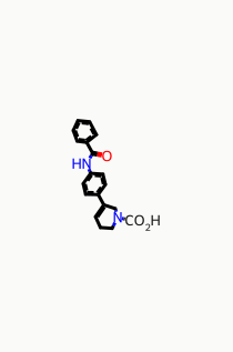 O=C(Nc1ccc(C2=CCCN(C(=O)O)C2)cc1)c1ccccc1